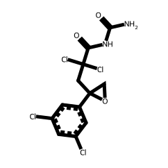 NC(=O)NC(=O)C(Cl)(Cl)CC1(c2cc(Cl)cc(Cl)c2)CO1